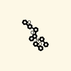 c1ccc(-c2cccc(N(c3cc4c5cccc(-c6ccc7c(c6)oc6ccccc67)c5oc4c4ccccc34)c3cccc4c3oc3ccccc34)c2)cc1